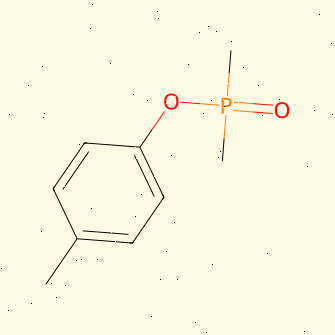 Cc1ccc(OP(C)(C)=O)cc1